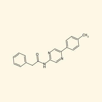 Cc1ccc(-c2cnc(NC(=O)Cc3ccccc3)cn2)cc1